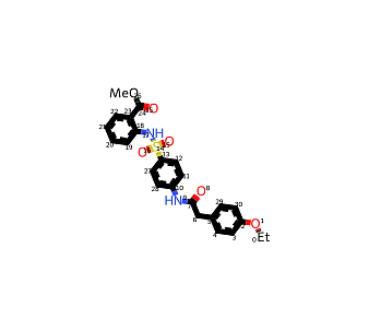 CCOc1ccc(CC(=O)Nc2ccc(S(=O)(=O)Nc3ccccc3C(=O)OC)cc2)cc1